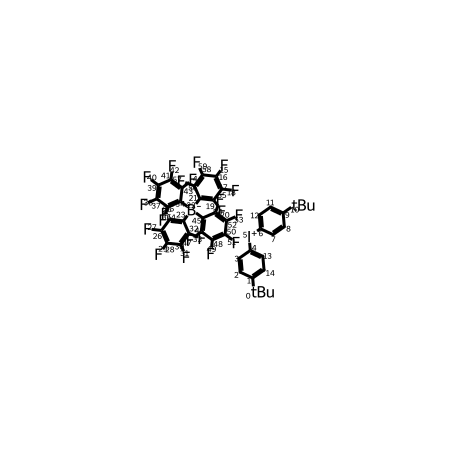 CC(C)(C)c1ccc([I+]c2ccc(C(C)(C)C)cc2)cc1.Fc1c(F)c(F)c([B-](c2c(F)c(F)c(F)c(F)c2F)(c2c(F)c(F)c(F)c(F)c2F)c2c(F)c(F)c(F)c(F)c2F)c(F)c1F